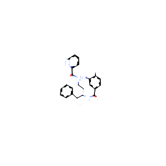 CN(C(=O)c1ccc(C(F)(F)F)c(C(F)(F)F)c1)[C@H](CCNC(=O)c1ccccn1)Cc1ccccc1